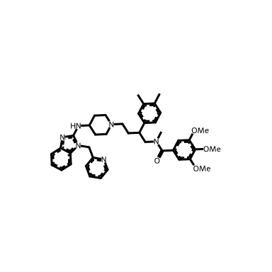 COc1cc(C(=O)N(C)CC(CCN2CCC(Nc3nc4ccccc4n3Cc3ccccn3)CC2)c2ccc(C)c(C)c2)cc(OC)c1OC